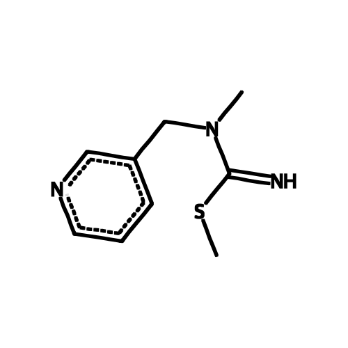 CSC(=N)N(C)Cc1cccnc1